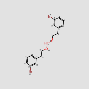 Brc1cccc(CCOBOCCc2cccc(Br)c2)c1